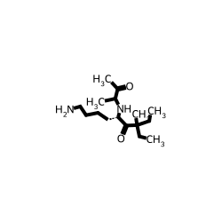 CCC(C)(CC)C(=O)[C@H](CCCCN)NC(C)C(C)=O